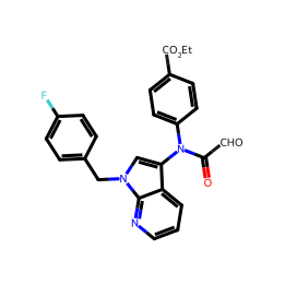 CCOC(=O)c1ccc(N(C(=O)C=O)c2cn(Cc3ccc(F)cc3)c3ncccc23)cc1